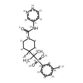 CC(C)(C1(F)CCN(C(=O)Nc2ccnnc2)CC1)S(=O)(=O)c1cccc(F)c1